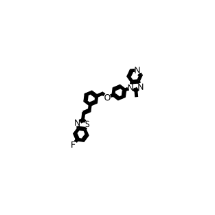 Cc1nc2cnccc2n1-c1ccc(OCc2cccc(C=Cc3nc4cc(F)ccc4s3)c2)cc1